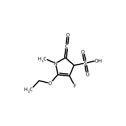 CCOC1=C(F)C(S(=O)(=O)O)C(=C=O)N1C